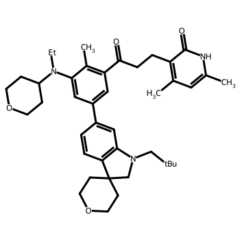 CCN(c1cc(-c2ccc3c(c2)N(CC(C)(C)C)CC32CCOCC2)cc(C(=O)CCc2c(C)cc(C)[nH]c2=O)c1C)C1CCOCC1